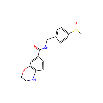 C[S+]([O-])c1ccc(CNC(=O)c2ccc3c(c2)OCCN3)cc1